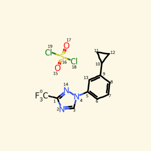 FC(F)(F)c1ncn(-c2cccc(C3CC3)c2)n1.O=S(=O)(Cl)Cl